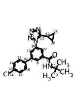 CC(C)(C)NC(=O)c1cc(-c2ccc(Cl)cc2)cc(-n2nnnc2C2CC2)c1